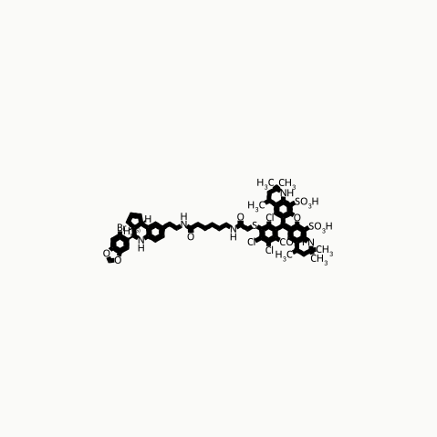 CC1CC(C)(C)Nc2c1cc1c(c2S(=O)(=O)O)Oc2c(S(=O)(=O)O)c3c(cc2=C1c1c(Cl)c(SCC(=O)NCCCCCC(=O)NCCc2ccc4c(c2)[C@@H]2C=CC[C@@H]2[C@H](c2cc5c(cc2Br)OCO5)N4)c(Cl)c(Cl)c1C(=O)O)C(C)CC(C)(C)N=3